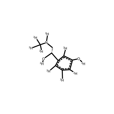 [2H]Oc1c([2H])c([2H])c([2H])c([C@@H](CN([2H])C([2H])([2H])[2H])O[2H])c1[2H]